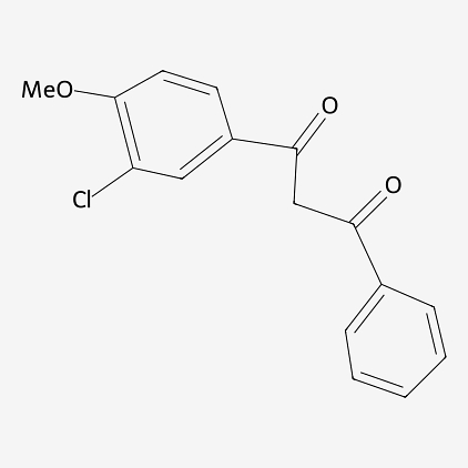 COc1ccc(C(=O)CC(=O)c2ccccc2)cc1Cl